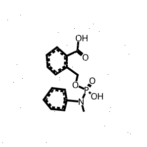 CN(c1ccccc1)P(=O)(O)OCc1ccccc1C(=O)O